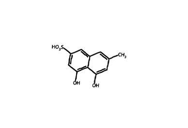 Cc1cc(O)c2c(O)cc(S(=O)(=O)O)cc2c1